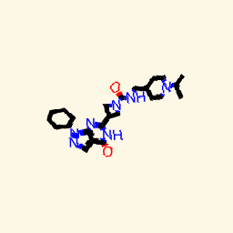 CC(C)N1CCC(CNC(=O)N2CC(c3nc4c(cnn4C4CCCCC4)c(=O)[nH]3)C2)CC1